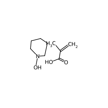 C=C(C)C(=O)O.ON1CCCCC1